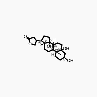 C[C@]12CC[C@H](O)C[C@@]1(O)CC[C@@H]1[C@@H]2CC[C@]2(C)[C@@H](C3COC(=O)C3)CC[C@]12O